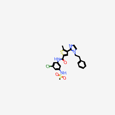 Cc1sc(C(=O)Nc2cc(Cl)cc(NS(C)(=O)=O)c2)cc1-c1nccn1CCc1ccccc1